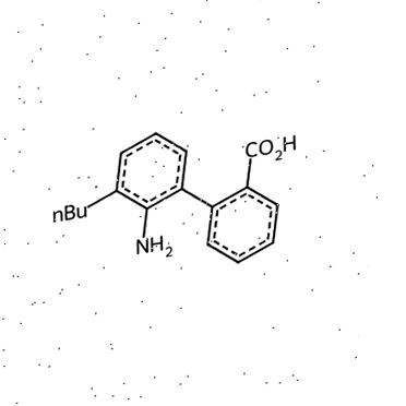 CCCCc1cccc(-c2ccccc2C(=O)O)c1N